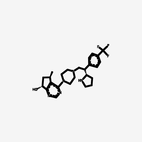 C[C@@H]1C[C@@H](O)c2ncnc(N3CCN([CH][C](c4ccc(C(F)(F)F)cc4)[C@@H]4CCCN4)CC3)c21